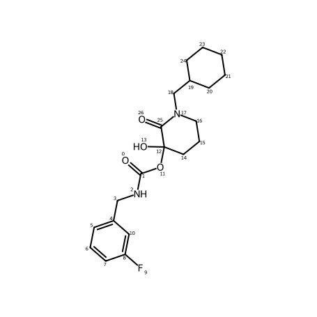 O=C(NCc1cccc(F)c1)OC1(O)CCCN(CC2CCCCC2)C1=O